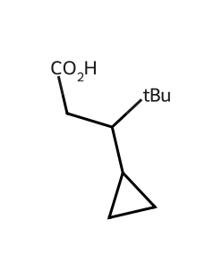 CC(C)(C)C(CC(=O)O)C1CC1